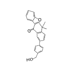 CC1(C)c2ccc(-c3ccc(CO)cc3)cc2C(=O)c2c1oc1ccccc21